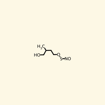 CC(CO)CCOSN=O